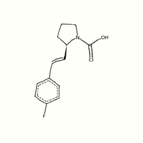 O=C(O)N1CCC[C@@H]1/C=C/c1ccc(F)cc1